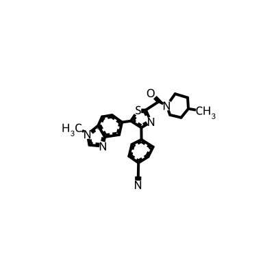 CC1CCN(C(=O)c2nc(-c3ccc(C#N)cc3)c(-c3ccc4c(c3)ncn4C)s2)CC1